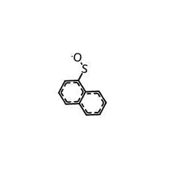 [O]Sc1cccc2ccccc12